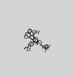 C=CC(=O)N1CCN(c2nc(OCCCN3CCC(F)(F)C3)nc3c(F)c(-c4c(O)cccc4F)c(Cl)cc23)CC1